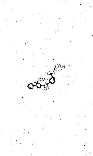 COCC1(C)CC(c2nc(-c3cccc(C(=O)NCC(=O)O)c3)no2)=CC=C1c1ccccc1